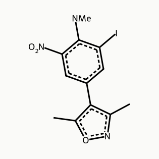 CNc1c(I)cc(-c2c(C)noc2C)cc1[N+](=O)[O-]